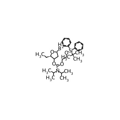 B[C@H]1CC(OP(OCCO[Si](c2ccccc2)(c2ccccc2)C(C)(C)C)N(C(C)C)C(C)C)[C@@H](CC)O1